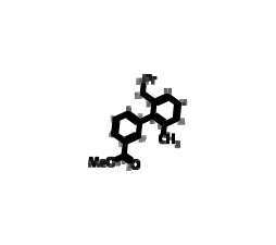 COC(=O)c1cccc(-c2c(C)cccc2CC(C)C)c1